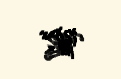 CC[C@@H](O[C@@]12CC[C@@H](c3cc(-c4c(F)cccc4F)nnc31)C2(C)C)c1n[nH]c(CO)n1